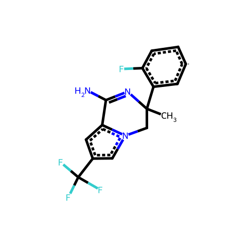 CC1(c2c[c]ccc2F)Cn2cc(C(F)(F)F)cc2C(N)=N1